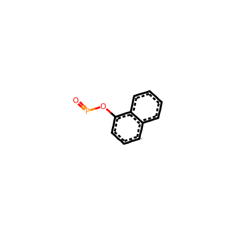 O=POc1cc[c]c2ccccc12